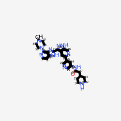 CN1CCN(c2nccc3[nH]c(-c4n[nH]c5cnc(-c6cncc(NC(=O)CC7CCNCC7)c6)cc45)nc23)CC1